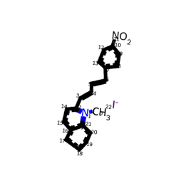 C[n+]1c(C=CC=Cc2ccc([N+](=O)[O-])cc2)ccc2ccccc21.[I-]